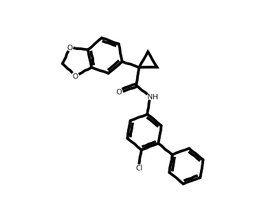 O=C(Nc1ccc(Cl)c(-c2ccccc2)c1)C1(c2ccc3c(c2)OCO3)CC1